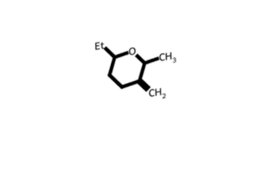 C=C1CCC(CC)OC1C